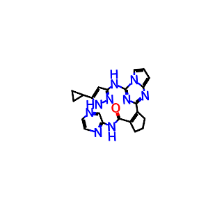 O=C(Nc1cnccn1)C1=C(c2nc(Nc3cc(C4CC4)[nH]n3)n3cccc3n2)CCC1